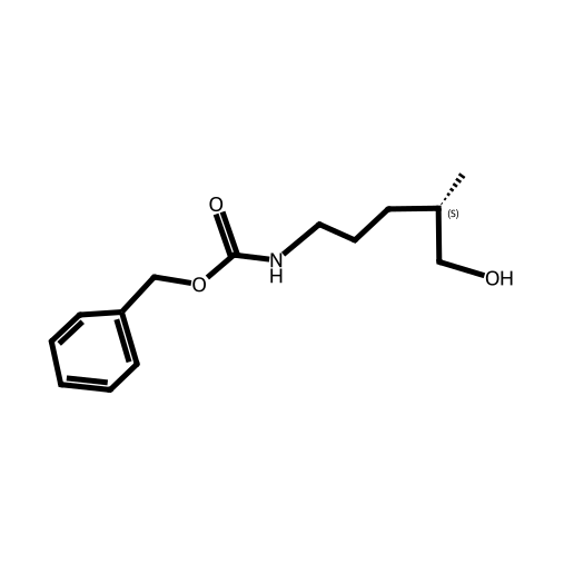 C[C@H](CO)CCCNC(=O)OCc1ccccc1